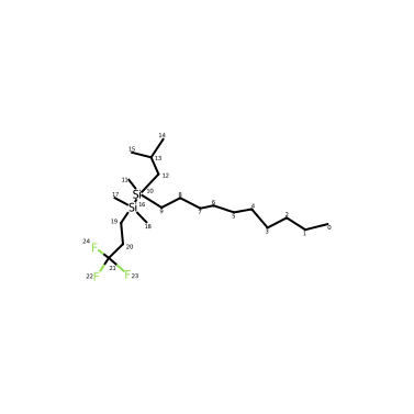 CCCCCCCCCC[Si](C)(CC(C)C)[Si](C)(C)CCC(F)(F)F